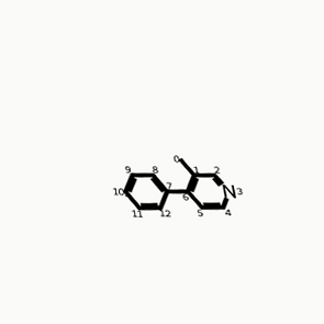 Cc1cnccc1-c1cc[c]cc1